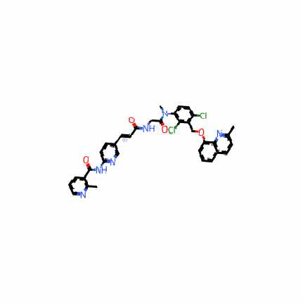 Cc1ccc2cccc(OCc3c(Cl)ccc(N(C)C(=O)CNC(=O)/C=C/c4ccc(NC(=O)c5cccnc5C)nc4)c3Cl)c2n1